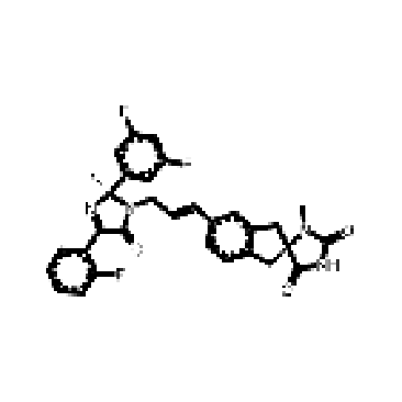 CN1C(=O)NC(=O)[C@@]12Cc1ccc(/C=C/CN3C(=O)C(c4ccccc4F)=N[C@@]3(C)c3cc(F)cc(F)c3)cc1C2